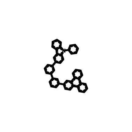 c1ccc(-n2c3ccccc3c3cc(-c4cccc(-c5cccc(-c6ccc7c8ccccc8c8ccccc8c7c6)c5)c4)ccc32)cc1